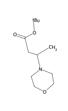 CC(CC(=O)OC(C)(C)C)N1CCOCC1